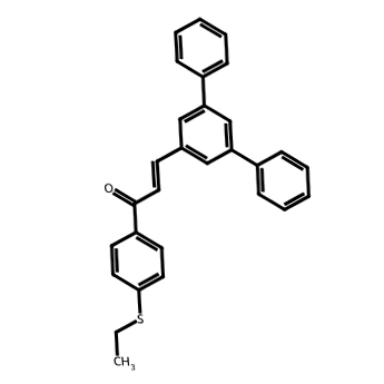 CCSc1ccc(C(=O)C=Cc2cc(-c3ccccc3)cc(-c3ccccc3)c2)cc1